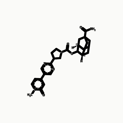 Cn1ccc(-c2cnc(C3CCN(C(=O)OC4[C@@H]5CC6C[C@H]4CC(C(N)=O)(C6)C5)C3)nc2)cc1=O